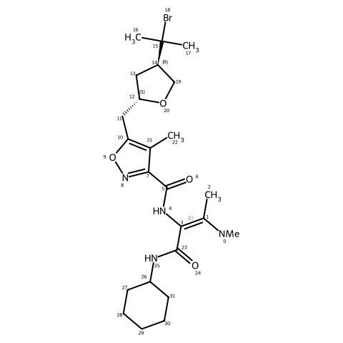 CN/C(C)=C(/NC(=O)c1noc(C[C@@H]2C[C@@H](C(C)(C)Br)CO2)c1C)C(=O)NC1CCCCC1